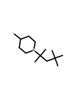 CC(C)(C)CC(C)(C)N1CCC(I)CC1